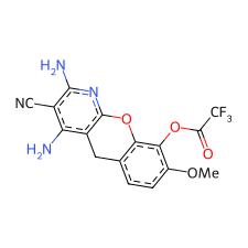 COc1ccc2c(c1OC(=O)C(F)(F)F)Oc1nc(N)c(C#N)c(N)c1C2